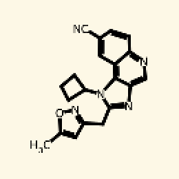 Cc1cc(Cc2nc3cnc4ccc(C#N)cc4c3n2C2CCC2)no1